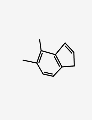 Cc1ccc2c(c1C)C=CC2